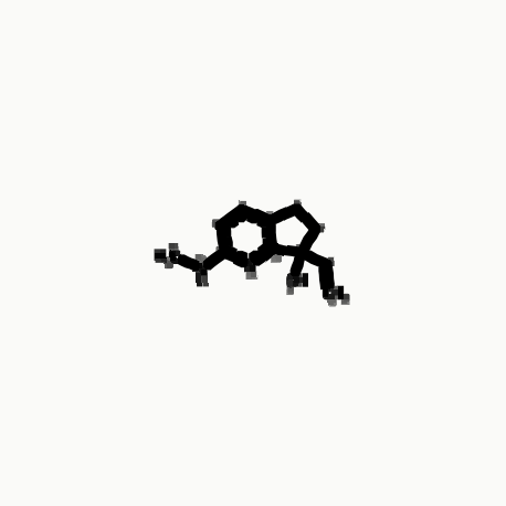 C=CC1(O)CCc2ccc(NC)nc21